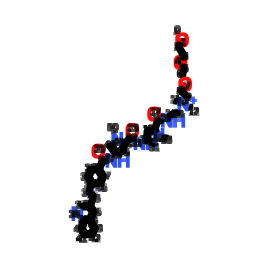 COCCOCCOCC[N+](C)(C)CCNC(=O)c1cc(NC(=O)c2cc(NC(=O)c3ccc(/C=C/c4cnc5ccccc5c4)cc3)cn2C)cn1C